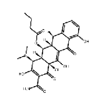 CCCC(=O)O[C@H]1[C@H]2C(=C(O)[C@]3(O)C(=O)C(C(N)=O)=C(O)[C@@H](N(C)C)[C@H]13)C(=O)c1c(O)cccc1[C@@H]2C